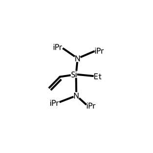 C=C[Si](CC)(N(C(C)C)C(C)C)N(C(C)C)C(C)C